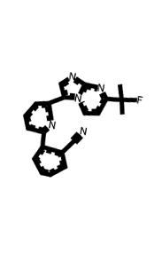 CC(C)(F)c1ccn2c(-c3cccc(-c4ccccc4C#N)n3)cnc2n1